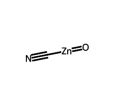 N#[C][Zn]=[O]